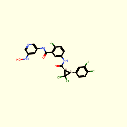 O=C(Nc1cncc(NO)c1)c1cc(NC(=O)[C@H]2[C@H](c3ccc(Cl)c(Cl)c3)C2(Cl)Cl)ccc1Cl